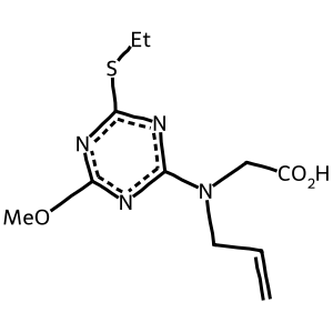 C=CCN(CC(=O)O)c1nc(OC)nc(SCC)n1